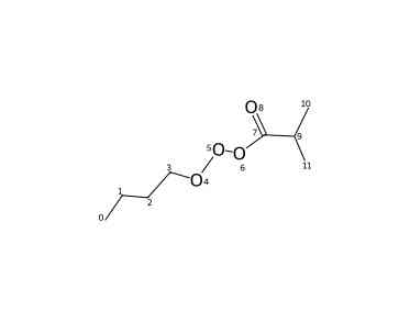 CCCCOOOC(=O)C(C)C